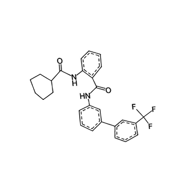 O=C(Nc1cccc(-c2cccc(C(F)(F)F)c2)c1)c1ccccc1NC(=O)C1CCCCC1